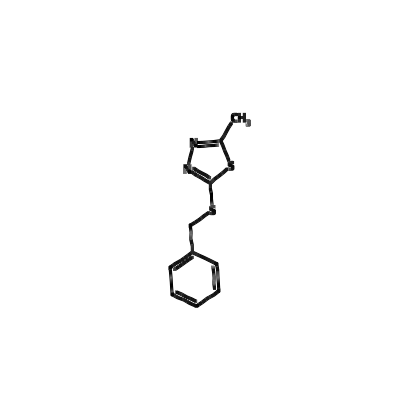 Cc1nnc(SCc2ccccc2)s1